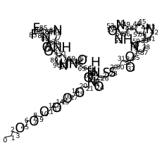 CCCCOCCOCCOCCOCCOCCOCCNC(=O)C(CSSCCCC(=O)OCc1ccc(-c2ccnc3ccc(-c4cnc(OC)c(N)c4)cc23)cn1)NC(=O)CCC(=O)NCc1cc(C(=O)NC(C)C(=O)N2CC(F)(F)C[C@H]2C#N)ccn1